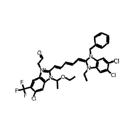 CCOC(C)n1c(/C=C/C=C/C=C2\N(CC)c3cc(Cl)c(Cl)cc3N2Cc2ccccc2)[n+](CC=O)c2cc(C(F)(F)F)c(Cl)cc21